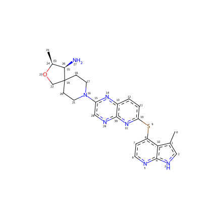 Cc1c[nH]c2nccc(Sc3ccc4nc(N5CCC6(CC5)CO[C@@H](C)[C@H]6N)cnc4n3)c12